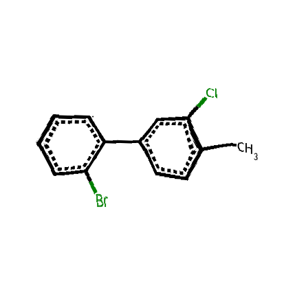 Cc1ccc(-c2[c]cccc2Br)cc1Cl